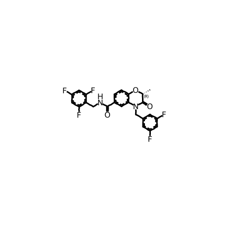 C[C@H]1Oc2ccc(C(=O)NCc3c(F)cc(F)cc3F)cc2N(Cc2cc(F)cc(F)c2)C1=O